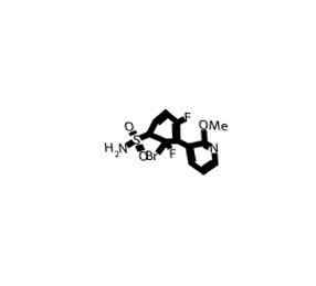 COc1ncccc1C1=C(F)C=CC(S(N)(=O)=O)C1(F)Br